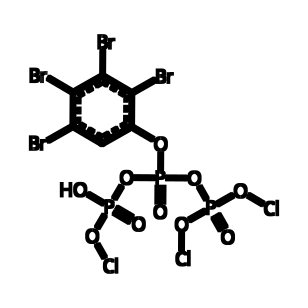 O=P(O)(OCl)OP(=O)(Oc1cc(Br)c(Br)c(Br)c1Br)OP(=O)(OCl)OCl